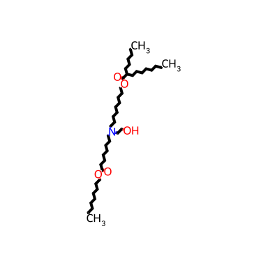 CCCCCCCCCOC(=O)CCCCCCCN(CCO)CCCCCCCCCOC(=O)C(CCCCCC)CCCCCCCC